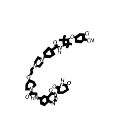 CC1(C)[C@H](NC(=O)c2ccc(N3CCN(CCOC4CCN(C(=O)CNc5ccc6nnn(C7CCC(=O)NC7=O)c(=O)c6c5)CC4)CC3)cc2)C(C)(C)[C@H]1Oc1ccc(C#N)c(Cl)c1